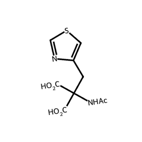 CC(=O)NC(Cc1cscn1)(C(=O)O)C(=O)O